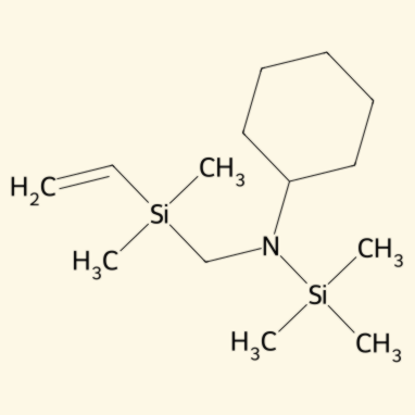 C=C[Si](C)(C)CN(C1CCCCC1)[Si](C)(C)C